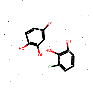 Oc1ccc(Br)cc1O.Oc1cccc(Cl)c1O